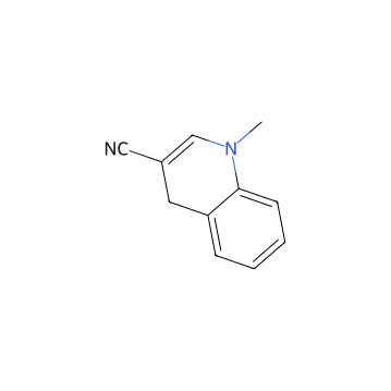 CN1C=C(C#N)Cc2ccccc21